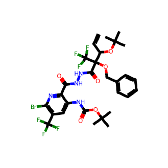 C=CC(OC(C)(C)C)C(OCc1ccccc1)(C(=O)NNC(=O)c1nc(Br)c(C(F)(F)F)cc1NC(=O)OC(C)(C)C)C(F)(F)F